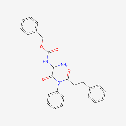 NC(NC(=O)OCc1ccccc1)C(=O)N(C(=O)CCc1ccccc1)c1ccccc1